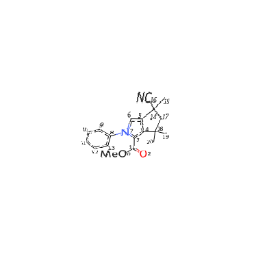 COC(=O)c1c2c(cn1-c1ccccc1)C(C)(C#N)CC2(C)C